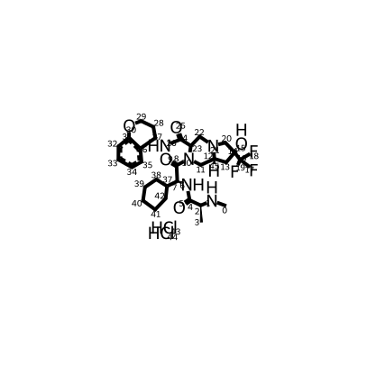 CN[C@@H](C)C(=O)N[C@H](C(=O)N1C[C@H]2CC(O)(C(F)(F)F)CN2CC1C(=O)N[C@@H]1CCOc2ccccc21)C1CCCCC1.Cl.Cl